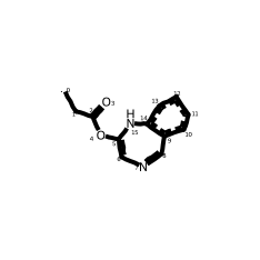 [CH2]CC(=O)OC1=CN=Cc2ccccc2N1